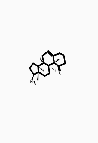 C[C@]12C(=O)CCCC1=CC[C@@H]1[C@@H]2CC[C@]2(C)[C@@H](N)CC[C@@H]12